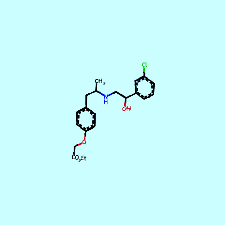 CCOC(=O)COc1ccc(CC(C)NCC(O)c2cccc(Cl)c2)cc1